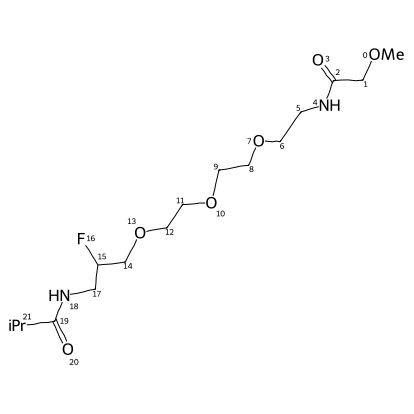 COCC(=O)NCCOCCOCCOCC(F)CNC(=O)C(C)C